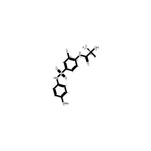 CSc1ccc(NS(=O)(=O)c2ccc(NC(=O)[C@@](C)(O)C(F)(F)F)c(F)c2)cc1